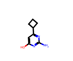 Nc1nc(O)cc(C2CCC2)n1